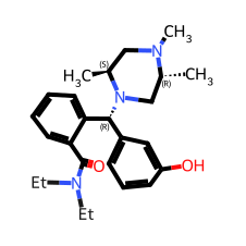 CCN(CC)C(=O)c1ccccc1[C@@H](c1cccc(O)c1)N1C[C@@H](C)N(C)C[C@@H]1C